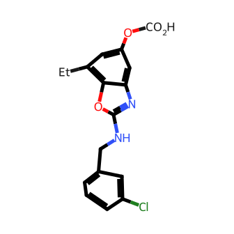 CCc1cc(OC(=O)O)cc2nc(NCc3cccc(Cl)c3)oc12